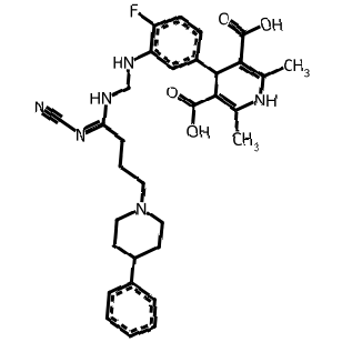 CC1=C(C(=O)O)C(c2ccc(F)c(NCN/C(CCCN3CCC(c4ccccc4)CC3)=N\C#N)c2)C(C(=O)O)=C(C)N1